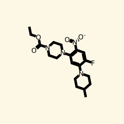 CCOC(=O)N1CCN(c2cc(N3CCC(C)CC3)c(F)cc2[N+](=O)[O-])CC1